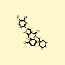 Nc1nc(-n2cc(C(=O)NCC3(c4ccc(Cl)cc4)CCCCC3)c(C(F)(F)F)n2)ncc1F